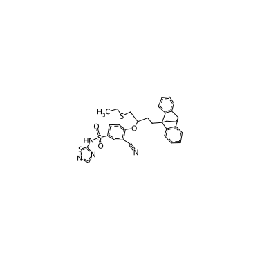 CCSCC(CCC12CCC(c3ccccc31)c1ccccc12)Oc1ccc(S(=O)(=O)Nc2ncns2)cc1C#N